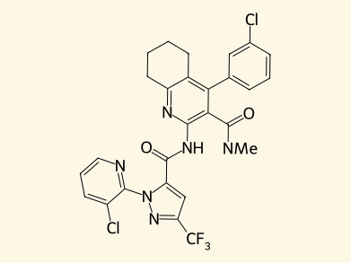 CNC(=O)c1c(NC(=O)c2cc(C(F)(F)F)nn2-c2ncccc2Cl)nc2c(c1-c1cccc(Cl)c1)CCCC2